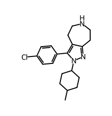 CC1CCC(n2nc3c(c2-c2ccc(Cl)cc2)CCNCC3)CC1